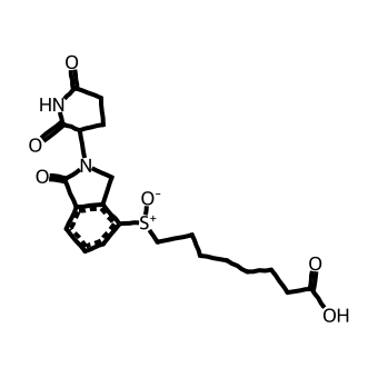 O=C(O)CCCCCCC[S+]([O-])c1cccc2c1CN(C1CCC(=O)NC1=O)C2=O